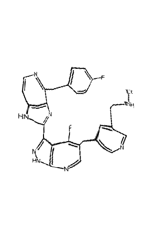 CCNCc1cncc(-c2cnc3[nH]nc(-c4nc5c(-c6ccc(F)cc6)nccc5[nH]4)c3c2F)c1